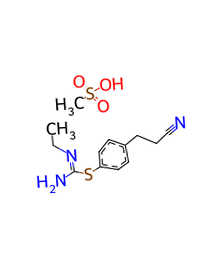 CCN=C(N)Sc1ccc(CCC#N)cc1.CS(=O)(=O)O